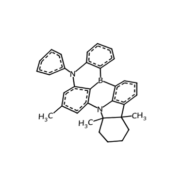 Cc1cc2c3c(c1)N1c4c(cccc4C4(C)CCCCC14C)B3c1ccccc1N2c1ccccc1